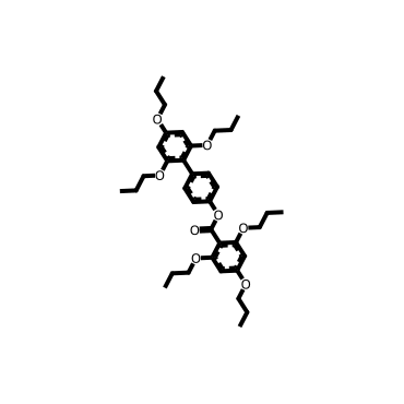 CCCOc1cc(OCCC)c(C(=O)Oc2ccc(-c3c(OCCC)cc(OCCC)cc3OCCC)cc2)c(OCCC)c1